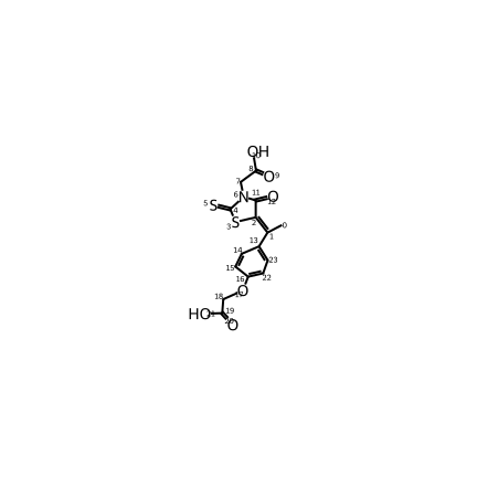 CC(=C1SC(=S)N(CC(=O)O)C1=O)c1ccc(OCC(=O)O)cc1